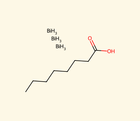 CCCCCCCC(=O)O.[BiH3].[BiH3].[BiH3]